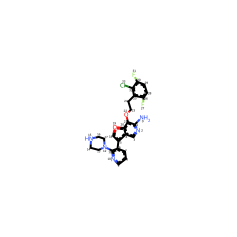 Nc1ncc2c(-c3cccnc3N3CCNCC3)coc2c1OCCc1c(F)ccc(F)c1Cl